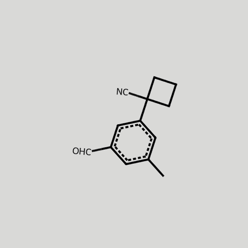 Cc1cc(C=O)cc(C2(C#N)CCC2)c1